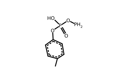 Cc1ccc(OP(=O)(O)OP)cc1